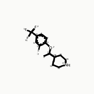 CC(Oc1ccc(C(F)(F)F)cc1F)C1CCNCC1